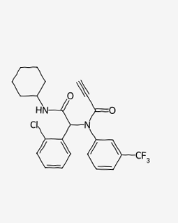 C#CC(=O)N(c1cccc(C(F)(F)F)c1)C(C(=O)NC1CCCCC1)c1ccccc1Cl